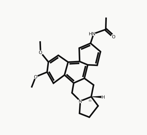 COc1cc2c3c(c4ccc(NC(C)=O)cc4c2cc1OC)C[C@@H]1CCCN1C3